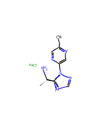 C[C@H](N)c1ncnn1-c1cnc(C#N)cn1.Cl